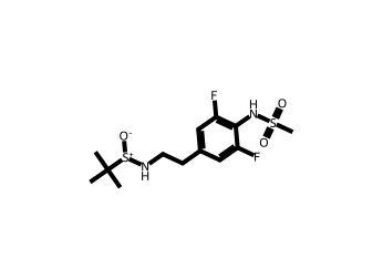 CC(C)(C)[S+]([O-])NCCc1cc(F)c(NS(C)(=O)=O)c(F)c1